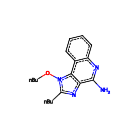 CC[CH]COn1c(CCCC)nc2c(N)nc3ccccc3c21